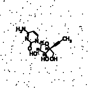 CC#C[C@]1(CO)O[C@@H](n2ccc(N)nc2=O)[C@@H](O)[C@@H]1O